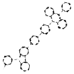 Cc1cccc(-n2c3ccccc3c3cc(-c4ccc(-c5ccc(-c6c7ccccc7c(-c7ccccc7)c7ccccc67)cc5)cc4)ccc32)c1